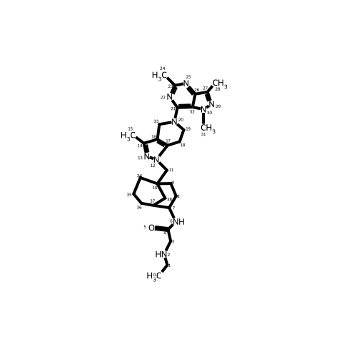 CCNCC(=O)NC1CCC2(Cn3nc(C)c4c3CCN(c3nc(C)nc5c(C)nn(C)c35)C4)CCCC1C2